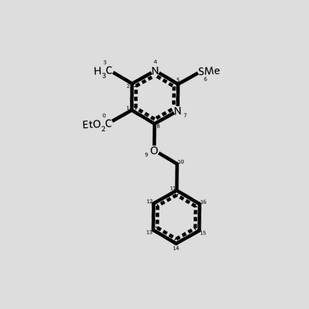 CCOC(=O)c1c(C)nc(SC)nc1OCc1ccccc1